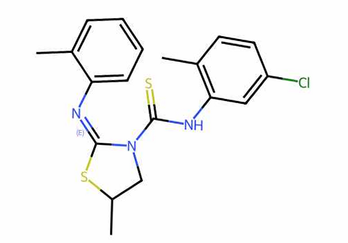 Cc1ccccc1/N=C1/SC(C)CN1C(=S)Nc1cc(Cl)ccc1C